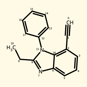 C#Cc1cccc2nc(CC)n(-c3ccccc3)c12